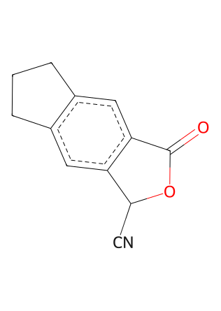 N#CC1OC(=O)c2cc3c(cc21)CCC3